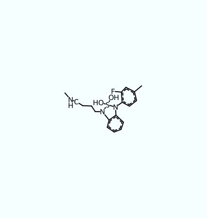 CNCCCCN1c2ccccc2N(c2ccc(C)cc2F)S1(O)O